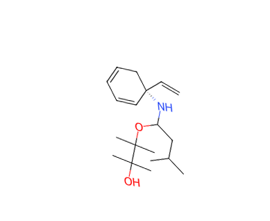 C=C[C@@]1(NC(CC(C)C)OC(C)(C)C(C)(C)O)C=CC=CC1